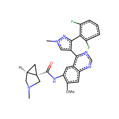 COc1cc2ncnc(-c3cn(C)nc3-c3c(F)cccc3F)c2cc1NC(=O)[C@@]12C[C@@H]1CN(C)C2